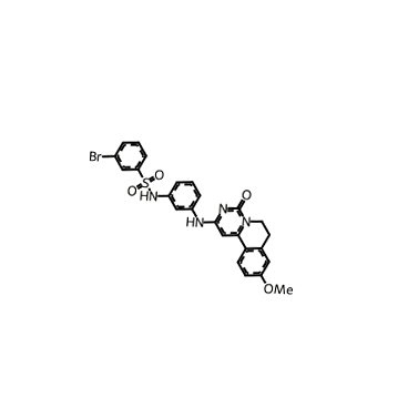 COc1ccc2c(c1)CCn1c-2cc(Nc2cccc(NS(=O)(=O)c3cccc(Br)c3)c2)nc1=O